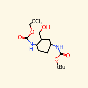 CC(C)(C)OC(=O)NC1CCC(NC(=O)OCC(Cl)(Cl)Cl)C(CO)C1